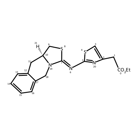 CCOC(=O)Cc1csc(/N=C2\SC[C@@H]3Cc4ccccc4CN23)n1